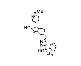 COc1ccc(-c2c(C#N)sc3cc(Cn4cc(C(O)(c5ccccc5)C(F)(F)F)nn4)ccc23)cn1